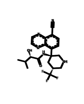 CC(C)[C@H](O)C(=O)N[C@@]1(c2ccc(C#N)c3nccnc23)CNC[C@H](C(F)(F)F)C1